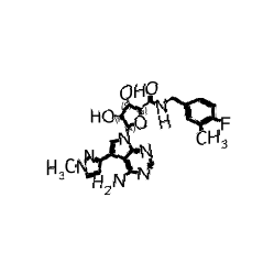 Cc1cc(CNC(=O)[C@H]2O[C@@H](n3cc(-c4ccn(C)n4)c4c(N)ncnc43)[C@H](O)[C@@H]2O)ccc1F